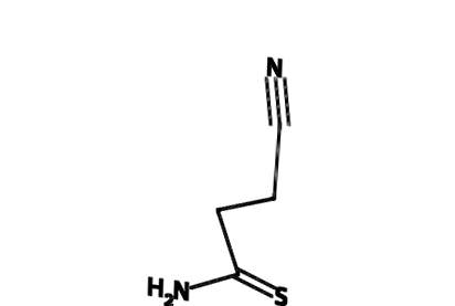 N#CCCC(N)=S